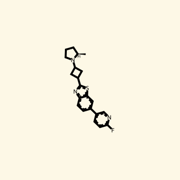 C[C@@H]1CCCN1C1CC(c2nc3ccc(-c4ccc(F)nc4)cc3s2)C1